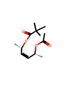 CC(=O)O[C@H](C)/C=C\[C@H](C)OC(=O)C(C)(C)C